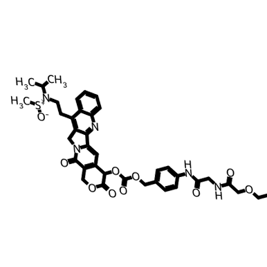 CC(C)N(CCc1c2c(nc3ccccc13)-c1cc3c(c(=O)n1C2)COC(=O)C3OC(=O)OCc1ccc(NC(=O)CNC(=O)COCC=O)cc1)[S+](C)[O-]